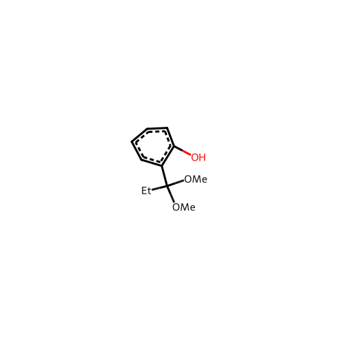 CCC(OC)(OC)c1ccccc1O